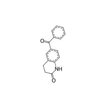 O=C1CCc2cc(C(=O)c3ccccc3)ccc2N1